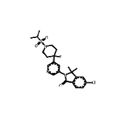 CC(C)S(=O)(=O)N1CCC(F)(c2cncc(N3C(=O)c4ccc(Cl)cc4C3(C)C)c2)CC1